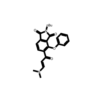 CCCCN1C(=O)c2ccc(C(=O)C=CN(C)C)c(Oc3ccccc3)c2C1=O